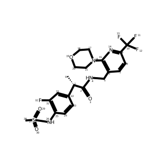 C[C@H](C(=O)NCc1ccc(C(F)(F)F)nc1N1CCOCC1)c1ccc(NS(C)(=O)=O)c(F)c1